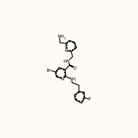 NCc1cccc(CNC(=O)c2cc(Br)cnc2NCCc2cccc(F)c2)n1